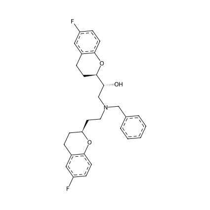 O[C@H](CN(CC[C@@H]1CCc2cc(F)ccc2O1)Cc1ccccc1)[C@H]1CCc2cc(F)ccc2O1